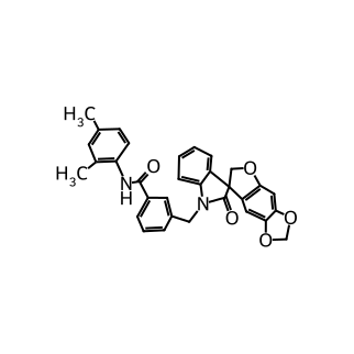 Cc1ccc(NC(=O)c2cccc(CN3C(=O)C4(COc5cc6c(cc54)OCO6)c4ccccc43)c2)c(C)c1